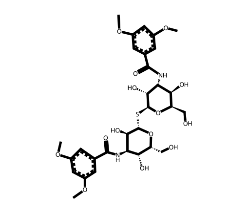 COc1cc(OC)cc(C(=O)N[C@@H]2[C@@H](O)[C@@H](CO)O[C@@H](S[C@@H]3O[C@H](CO)[C@H](O)[C@@H](NC(=O)c4cc(OC)cc(OC)c4)[C@H]3O)[C@@H]2O)c1